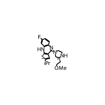 COCC[C@H]1CN(C2=Nc3ccc(F)cc3Nc3sc(C(C)C)cc32)CCN1